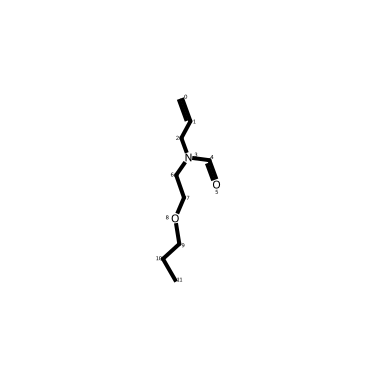 C=CCN(C=O)CCOCCC